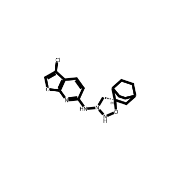 Clc1coc2nc(NN3C[C@]4(CC5CCC4CC5)ON3)ccc12